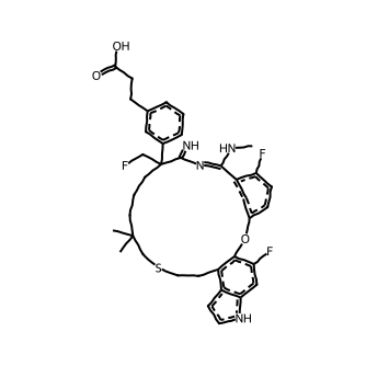 CN/C1=N\C(=N)C(CF)(c2cccc(CCC(=O)O)c2)CCCC(C)(C)CSCCc2c(c(F)cc3[nH]ccc23)Oc2ccc(F)c1c2